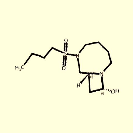 CCCCS(=O)(=O)N1CCCCN2[C@H](C[C@H]2O)C1